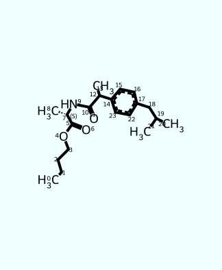 CCCCOC(=O)[C@H](C)NC(=O)C(C)c1ccc(CC(C)C)cc1